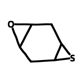 C1C2OC2CC2SC12